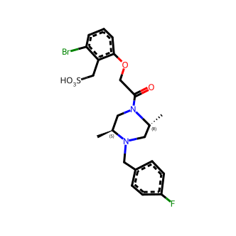 C[C@@H]1CN(Cc2ccc(F)cc2)[C@@H](C)CN1C(=O)COc1cccc(Br)c1CS(=O)(=O)O